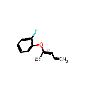 C=C/C=C(\CC)Oc1ccccc1F